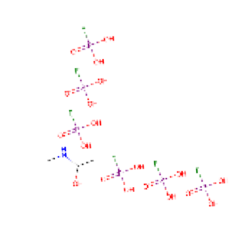 CNC(C)O.O=P(O)(O)F.O=P(O)(O)F.O=P(O)(O)F.O=P(O)(O)F.O=P(O)(O)F.O=P(O)(O)F